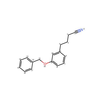 N#CCCCc1cccc(OCc2ccccc2)c1